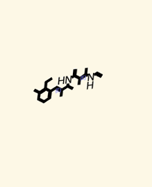 C=CN/C(C)=C(\C)C(=C)NC(C)/C(C)=C/C1=CCCC(C)=C1CC